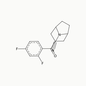 N#CN1C2CCC1CC(C(=O)c1ccc(F)cc1F)C2